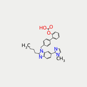 CCCCc1nc2ccc(-c3nccn3C)cc2n1Cc1ccc(-c2ccccc2OC(=O)O)cc1